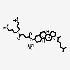 CC(C)CCCC(C)[C@H]1CC[C@H]2[C@@H]3CC=C4C[C@@H](OC(=O)CCC(=O)N(CCCN(C)C)CCCN(C)C)CC[C@]4(C)[C@H]3CC[C@]12C.Cl.Cl